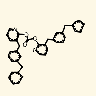 O=C(Oc1ncccc1Cc1cccc(Cc2ccccc2)c1)Oc1ncccc1Cc1cccc(Cc2ccccc2)c1